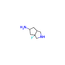 NC1CC2CNCC2(F)C1